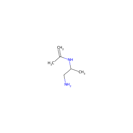 C=C(C)NC(C)CN